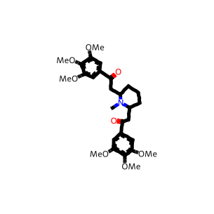 COc1cc(C(=O)CC2CCCC(CC(=O)c3cc(OC)c(OC)c(OC)c3)N2C)cc(OC)c1OC